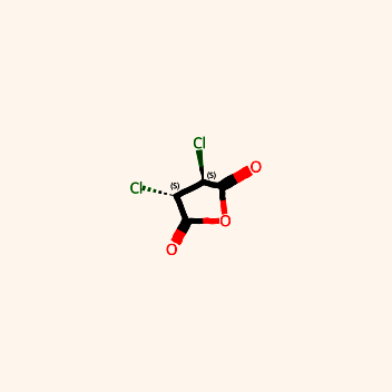 O=C1OC(=O)[C@H](Cl)[C@H]1Cl